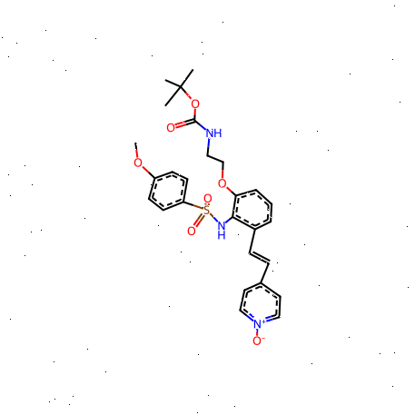 COc1ccc(S(=O)(=O)Nc2c(C=Cc3cc[n+]([O-])cc3)cccc2OCCNC(=O)OC(C)(C)C)cc1